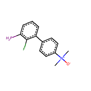 C[N+](C)([O-])c1ccc(-c2cccc(P)c2F)cc1